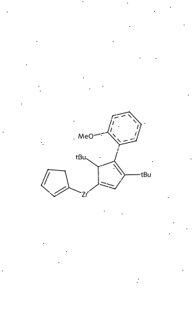 COc1ccccc1C1=C(C(C)(C)C)C=[C]([Zr][C]2=CC=CC2)C1C(C)(C)C